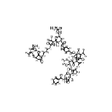 CC[C@H](C)[C@@H]([C@@H](CC(=O)N1CCC[C@H]1[C@H](OC)[C@@H](C)C(=O)NCC(=O)c1ccccc1)OC)N(C)C(=O)[C@@H](NC(=O)[C@H](C(C)C)N(C)C(=O)OCc1ccc(NC(=O)[C@H](CCCNC(N)=O)NC(=O)[C@@H](NC(=O)CCCCCN2C(=O)CC(SCC3(CC(N)=O)CC3)C2=O)C(C)C)cc1)C(C)C